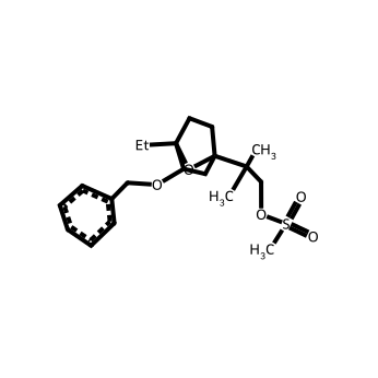 CCC12CCC(C(C)(C)COS(C)(=O)=O)(CC1OCc1ccccc1)O2